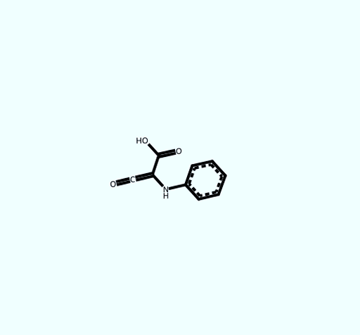 O=C=C(Nc1ccccc1)C(=O)O